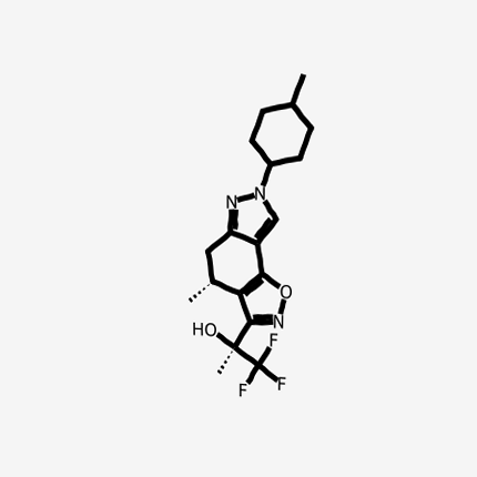 CC1CCC(n2cc3c(n2)C[C@@H](C)c2c([C@](C)(O)C(F)(F)F)noc2-3)CC1